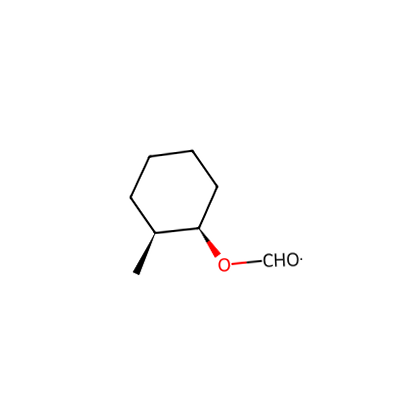 C[C@H]1CCCC[C@H]1O[C]=O